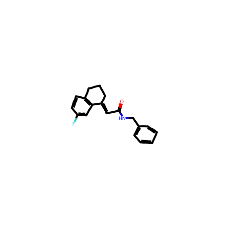 O=C(C=C1CCCc2ccc(F)cc21)NCc1ccccc1